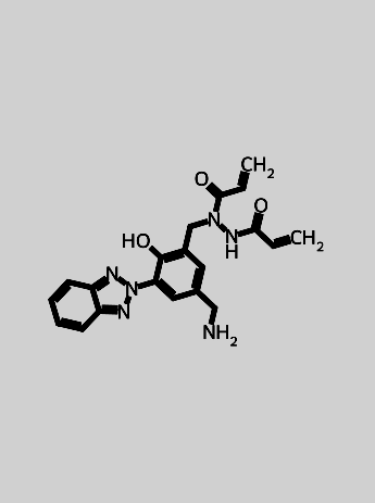 C=CC(=O)NN(Cc1cc(CN)cc(-n2nc3ccccc3n2)c1O)C(=O)C=C